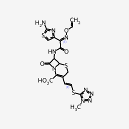 C=CO/N=C(/C(=O)NC1C(=O)N2C(C(=O)O)=C(/C=C/Sc3nnnn3C)CSC12)c1csc(N)n1